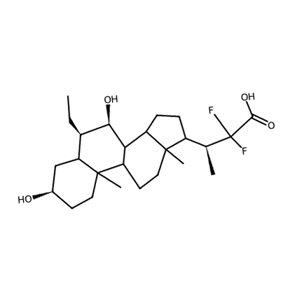 CC[C@@H]1C2C[C@H](O)CCC2(C)C2CCC3(C)C(CCC3[C@H](C)C(F)(F)C(=O)O)C2[C@@H]1O